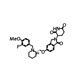 COc1ccc(CN2CCCC[C@H]2COc2ccc3c(c2)CN(C2CCC(=O)NC2=O)C3=O)cc1F